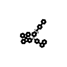 c1ccc(-c2ccc(-c3nc4cc(N(c5ccc(-c6cccc7ccccc67)cc5)c5ccc6c(c5)C(c5ccccc5)(c5ccccc5)c5ccccc5-6)ccc4s3)cc2)cc1